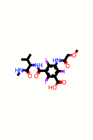 CNC(=O)C(NC(=O)c1c(I)c(NC(=O)COC)c(I)c(C(=O)O)c1I)C(C)C